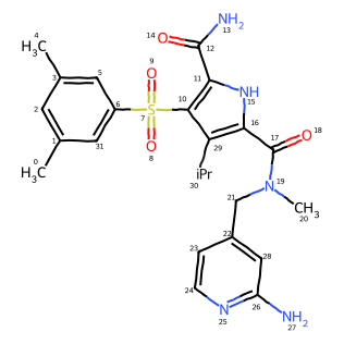 Cc1cc(C)cc(S(=O)(=O)c2c(C(N)=O)[nH]c(C(=O)N(C)Cc3ccnc(N)c3)c2C(C)C)c1